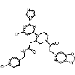 O=C(CC1CN(C(=O)Cc2ccc3c(c2)OCO3)CCN1c1cc(Cl)nc(-n2ccnc2)n1)NCc1ccc(Cl)cc1